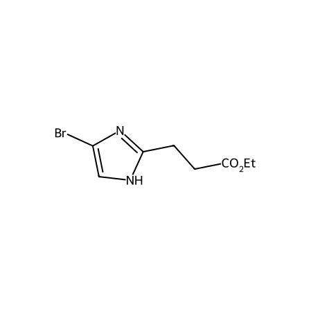 CCOC(=O)CCc1nc(Br)c[nH]1